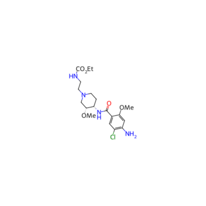 CCOC(=O)NCCN1CC[C@H](NC(=O)c2cc(Cl)c(N)cc2OC)[C@H](OC)C1